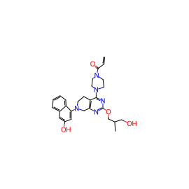 C=CC(=O)N1CCN(c2nc(OCC(C)CO)nc3c2CCN(c2cc(O)cc4ccccc24)C3)CC1